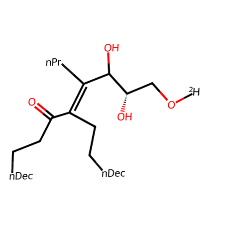 [2H]OC[C@H](O)C(O)C(CCC)=C(CCCCCCCCCCCC)C(=O)CCCCCCCCCCCC